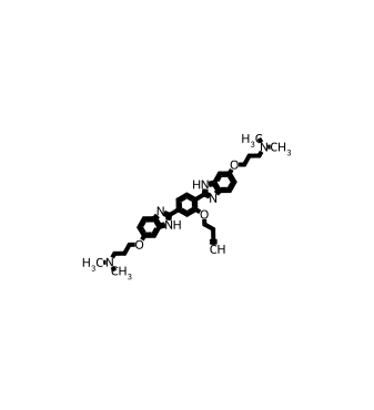 C#CCCOc1cc(-c2nc3ccc(OCCCN(C)C)cc3[nH]2)ccc1-c1nc2ccc(OCCCN(C)C)cc2[nH]1